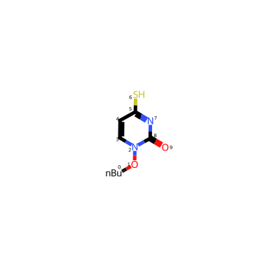 CCCCOn1ccc(S)nc1=O